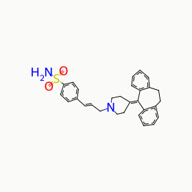 NS(=O)(=O)c1ccc(C=CCN2CCC(=C3c4ccccc4CCc4ccccc43)CC2)cc1